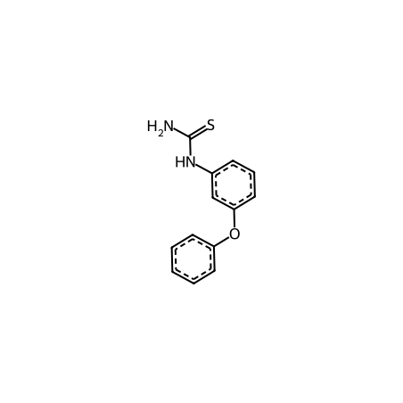 NC(=S)Nc1cccc(Oc2ccccc2)c1